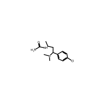 CC(CC(c1ccc(Cl)cc1)N(C)C)NC(N)=O